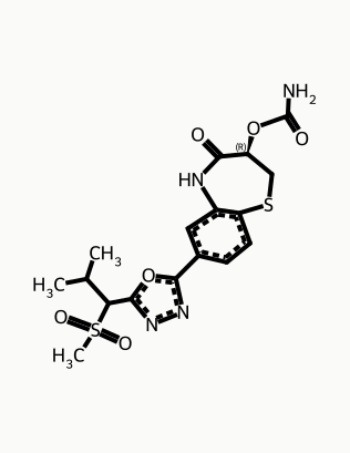 CC(C)C(c1nnc(-c2ccc3c(c2)NC(=O)[C@@H](OC(N)=O)CS3)o1)S(C)(=O)=O